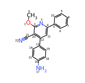 COc1nc(-c2ccccc2)cc(-c2ccc(N)cc2)c1C#N